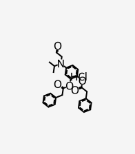 CC(C)N(CC=O)c1ccc(OC(=O)Cc2ccccc2)c(OC(=O)Cc2ccccc2)c1.Cl